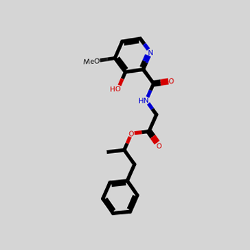 COc1ccnc(C(=O)NCC(=O)OC(C)Cc2ccccc2)c1O